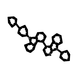 c1ccc(-c2ccc(-n3c4ccccc4c4c(-c5ccnc6c5c5ccccc5n6-c5ccccc5)cccc43)cc2)cc1